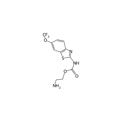 NCCOC(=O)Nc1nc2ccc(OC(F)(F)F)cc2s1